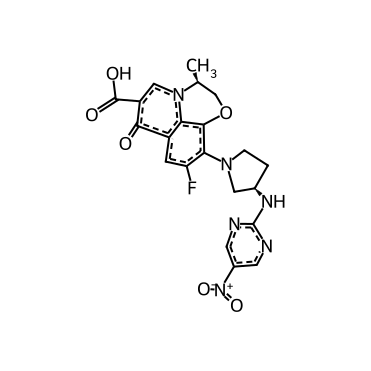 C[C@H]1COc2c(N3CC[C@@H](Nc4ncc([N+](=O)[O-])cn4)C3)c(F)cc3c(=O)c(C(=O)O)cn1c23